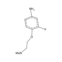 CNCCOc1ccc(N)cc1F